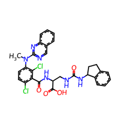 CN(c1ncc2ccccc2n1)c1ccc(Cl)c(C(=O)NC(CNC(=O)NC2CCc3ccccc32)C(=O)O)c1Cl